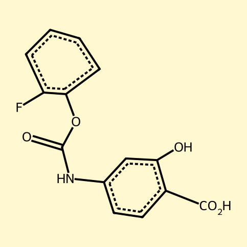 O=C(Nc1ccc(C(=O)O)c(O)c1)Oc1ccccc1F